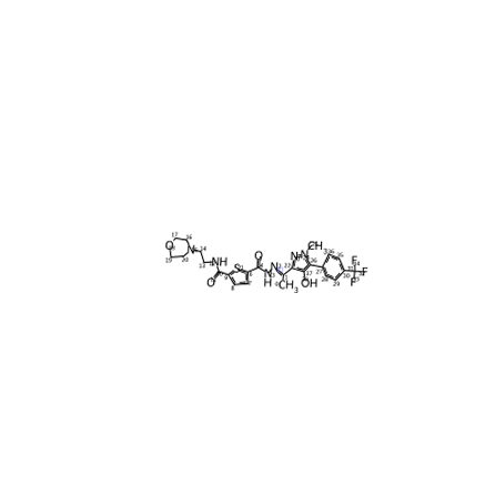 C/C(=N\NC(=O)c1ccc(C(=O)NCCN2CCOCC2)s1)c1nn(C)c(-c2ccc(C(F)(F)F)cc2)c1O